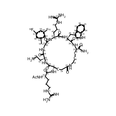 CC(=O)N[C@@H](CCCNC(=N)N)C(=O)N[C@H]1CCC(=O)NCCC[C@@H](C(N)=O)NC(=O)[C@H](Cc2c[nH]c3ccccc23)NC(=O)[C@H](CCCNC(=N)N)NC(=O)[C@@H](Cc2cc(F)cc(F)c2)NC(=O)[C@H](CCN)NC1=O